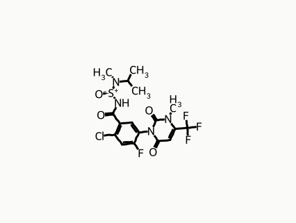 CC(C)N(C)[S@+]([O-])NC(=O)c1cc(-n2c(=O)cc(C(F)(F)F)n(C)c2=O)c(F)cc1Cl